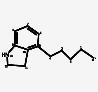 [CH2]CCCCc1cccc2c1CCN2